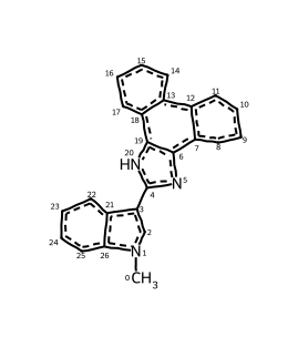 Cn1cc(-c2nc3c4ccccc4c4ccccc4c3[nH]2)c2ccccc21